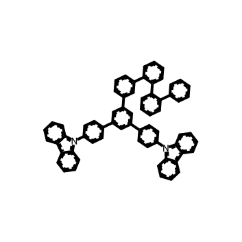 c1ccc(-c2ccccc2-c2ccccc2-c2cccc(-c3cc(-c4ccc(-n5c6ccccc6c6ccccc65)cc4)cc(-c4ccc(-n5c6ccccc6c6ccccc65)cc4)c3)c2)cc1